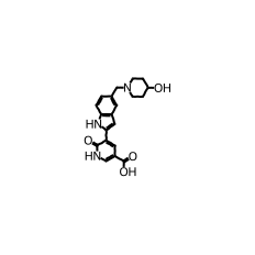 O=C(O)c1c[nH]c(=O)c(-c2cc3cc(CN4CCC(O)CC4)ccc3[nH]2)c1